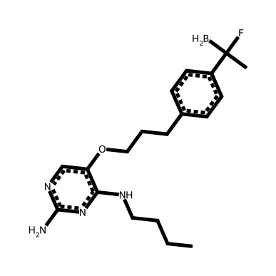 BC(C)(F)c1ccc(CCCOc2cnc(N)nc2NCCCC)cc1